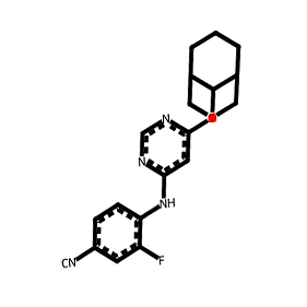 [C-]#[N+]c1ccc(Nc2cc(OC3C4CCCC3COC4)ncn2)c(F)c1